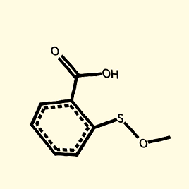 COSc1ccccc1C(=O)O